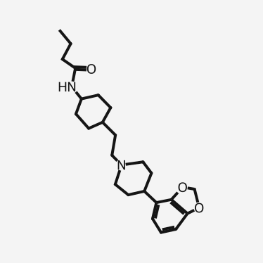 CCCC(=O)NC1CCC(CCN2CCC(c3cccc4c3OCO4)CC2)CC1